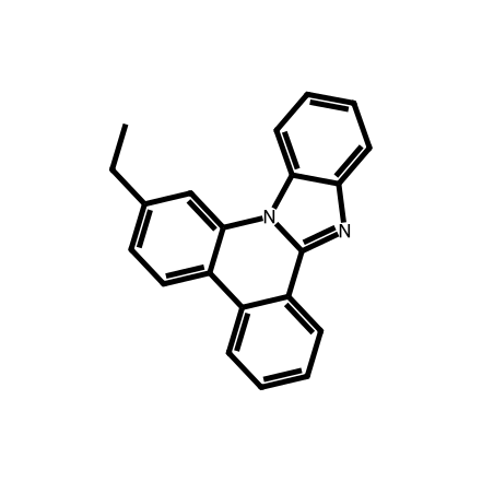 CCc1ccc2c3ccccc3c3nc4ccccc4n3c2c1